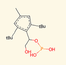 Cc1cc(C(C)(C)C)c(C(CO)OP(O)O)c(C(C)(C)C)c1